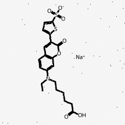 CCN(CCCCCC(=O)O)c1ccc2cc(-c3ccc(S(=O)(=O)[O-])s3)c(=O)oc2c1.[Na+]